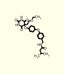 CCOCCC1(Oc2ccc(Oc3ccc(CNC(=O)CC(C)C)cc3)cc2)C(=O)NC(=O)NC1=O